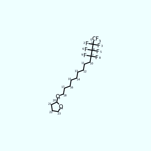 FC(F)(F)C(F)(F)C(F)(F)C(F)(F)CCCCCCCCCOC1CCCO1